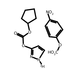 O=C(O)Oc1ccc([N+](=O)[O-])cc1.[2H]n1ccc(OC(=O)OC2CCCC2)n1